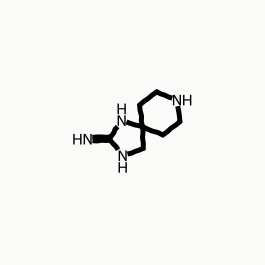 N=C1NCC2(CCNCC2)N1